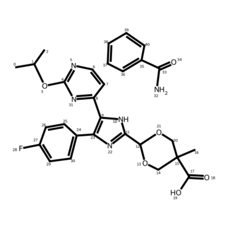 CC(C)Oc1nccc(-c2[nH]c(C3OCC(C)(C(=O)O)CO3)nc2-c2ccc(F)cc2)n1.NC(=O)c1ccccc1